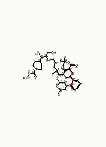 COC(C)(C[C@@H](C)CN[C@H](CO)[C@H](O)C1CCN(C(=O)OC(C)(C)C)CC1)[C@H](O[C@@H]1O[C@H](C)C[C@H](N(C)C)[C@H]1OC(=O)c1ccccc1)[C@@H](C)C1=C(C)C(=O)OC(C)(C)O1